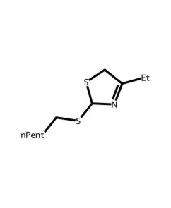 CCCCCCSC1N=C(CC)CS1